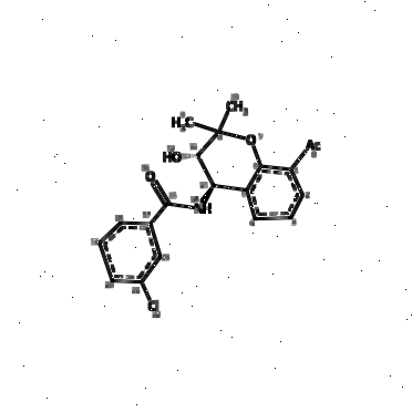 CC(=O)c1cccc2c1OC(C)(C)[C@@H](O)[C@@H]2NC(=O)c1cccc(Cl)c1